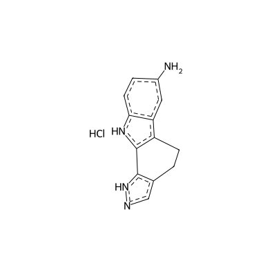 Cl.Nc1ccc2[nH]c3c(c2c1)CCc1cn[nH]c1-3